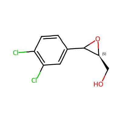 OC[C@@H]1OC1c1ccc(Cl)c(Cl)c1